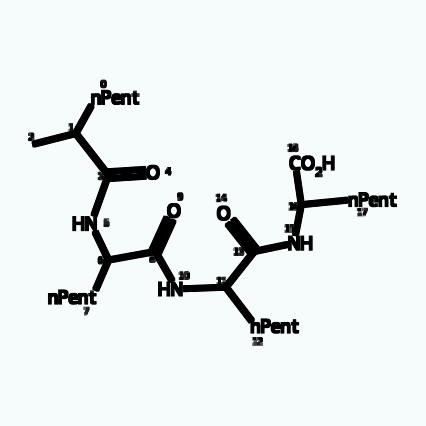 CCCCCC(C)C(=O)NC(CCCCC)C(=O)NC(CCCCC)C(=O)NC(CCCCC)C(=O)O